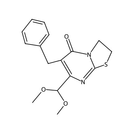 COC(OC)c1nc2n(c(=O)c1Cc1ccccc1)CCS2